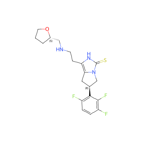 Fc1ccc(F)c([C@H]2Cc3c(CCNC[C@@H]4CCCO4)[nH]c(=S)n3C2)c1F